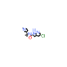 Cn1ccc(C2(NC(=O)c3cc4cc(Cl)cnc4[nH]3)CC2)c1